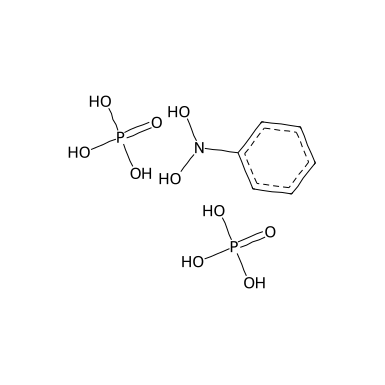 O=P(O)(O)O.O=P(O)(O)O.ON(O)c1ccccc1